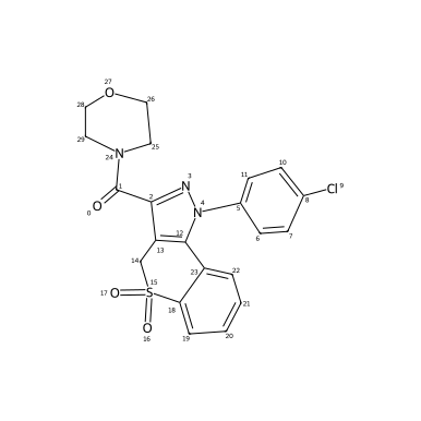 O=C(c1nn(-c2ccc(Cl)cc2)c2c1CS(=O)(=O)c1ccccc1-2)N1CCOCC1